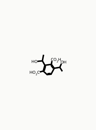 CC(O)c1ccc(C(=O)O)c(C(C)O)c1C(=O)O